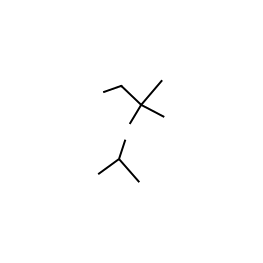 CC(C)C.CCC(C)(C)C